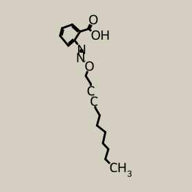 CCCCCCCCCCCCON=Nc1ccccc1C(=O)O